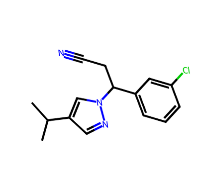 CC(C)c1cnn(C(CC#N)c2cccc(Cl)c2)c1